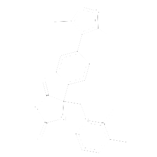 Cc1noc(C)c1-c1ccc(C2(Cn3cccc(C)c3=O)NC(=O)NC2=O)cc1